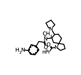 CCCC(=O)N1CCCC12CCC(N1CCCC1)C(N(C)C(=O)Cc1cccc(N)c1)C2